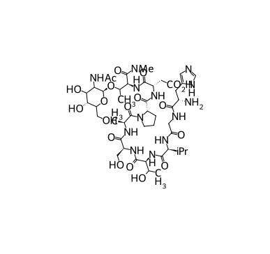 CNC(=O)[C@@H](NC(=O)[C@H](CC(=O)O)NC(=O)[C@@H]1CCCN1C(=O)[C@H](C)NC(=O)[C@H](CO)NC(=O)[C@@H](NC(=O)[C@@H](NC(=O)CNC(=O)[C@@H](N)Cc1cnc[nH]1)C(C)C)C(C)O)C(C)O[C@H]1OC(CO)[C@H](O)C(O)C1NC(C)=O